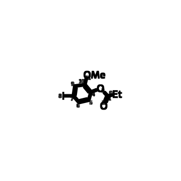 CCC(=O)Oc1ccc(I)cc1OC